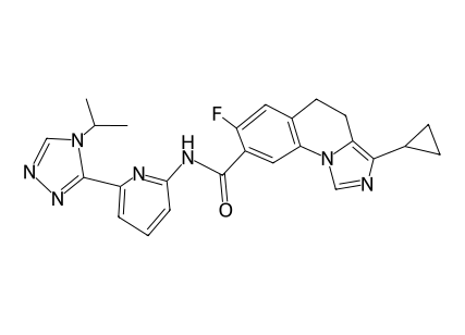 CC(C)n1cnnc1-c1cccc(NC(=O)c2cc3c(cc2F)CCc2c(C4CC4)ncn2-3)n1